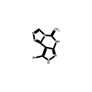 C=C1Nc2n[nH]c(C(C)C)c2-c2nncn21